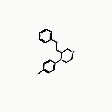 Clc1ccc(N2CCNCC2CCc2ccccc2)cc1